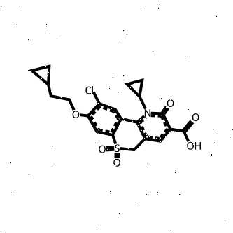 O=C(O)c1cc2c(n(C3CC3)c1=O)-c1cc(Cl)c(OCCC3CC3)cc1S(=O)(=O)C2